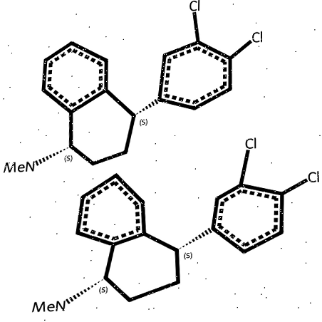 CN[C@H]1CC[C@@H](c2ccc(Cl)c(Cl)c2)c2ccccc21.CN[C@H]1CC[C@@H](c2ccc(Cl)c(Cl)c2)c2ccccc21